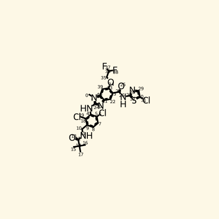 Cn1c(Nc2c(Cl)ccc(CNC(=O)C(C)(C)C)c2Cl)nc2cc(C(=O)Nc3ncc(Cl)s3)c(OCC(F)F)cc21